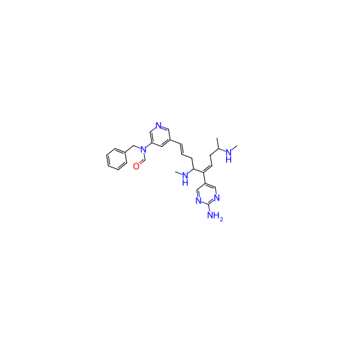 CNC(C)CC=C(c1cnc(N)nc1)C(C/C=C/c1cncc(N(C=O)Cc2ccccc2)c1)NC